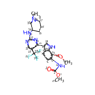 COC(=O)Nc1ccc2c(-c3nc(NC4CCCN(C)C4)ncc3C(F)(F)F)c[nH]c2c1OC